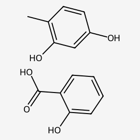 Cc1ccc(O)cc1O.O=C(O)c1ccccc1O